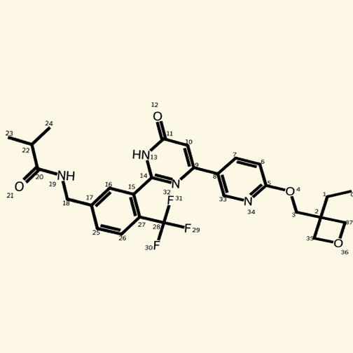 CCC1(COc2ccc(-c3cc(=O)[nH]c(-c4cc(CNC(=O)C(C)C)ccc4C(F)(F)F)n3)cn2)COC1